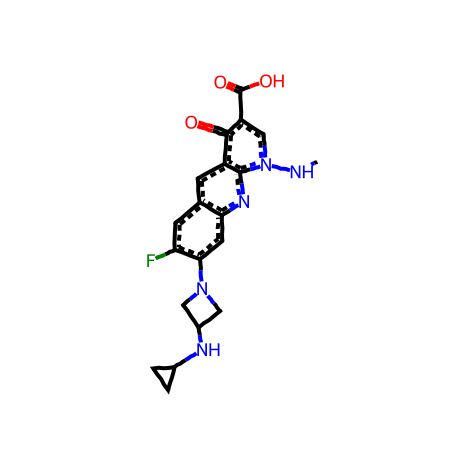 CNn1cc(C(=O)O)c(=O)c2cc3cc(F)c(N4CC(NC5CC5)C4)cc3nc21